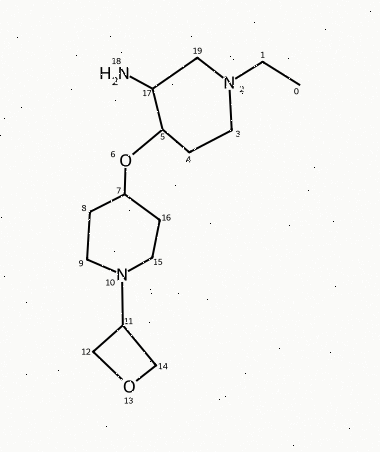 CCN1CCC(OC2CCN(C3COC3)CC2)C(N)C1